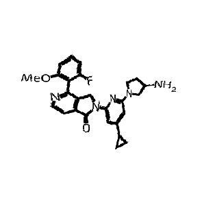 COc1cccc(F)c1-c1nccc2c1CN(c1cc(C3CC3)cc(N3CC[C@@H](N)C3)n1)C2=O